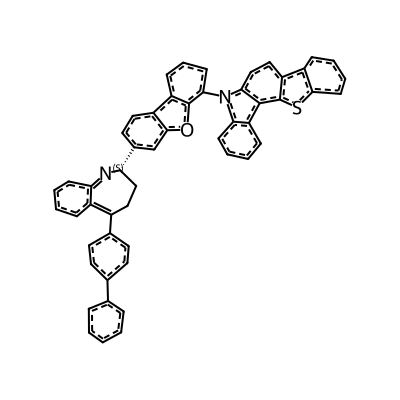 c1ccc(-c2ccc(C3=c4ccccc4=N[C@H](c4ccc5c(c4)oc4c(-n6c7ccccc7c7c8sc9ccccc9c8ccc76)cccc45)CC3)cc2)cc1